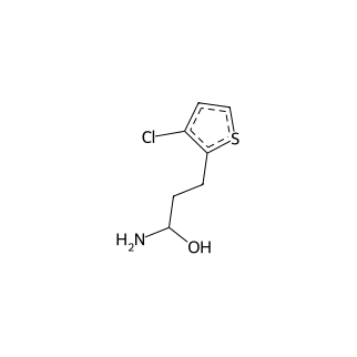 NC(O)CCc1sccc1Cl